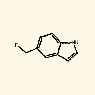 FCc1ccc2[nH][c]cc2c1